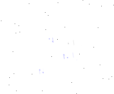 Cc1cccn1-c1ccncc1N